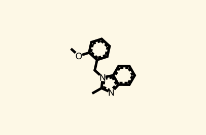 COc1ccccc1Cn1c(C)nc2ccccc21